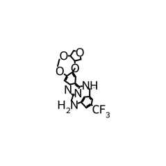 Cc1nc(N[C@H](C)c2cc(N)cc(C(F)(F)F)c2)c2cc3c(cc2n1)OCCOC1COCC1O3